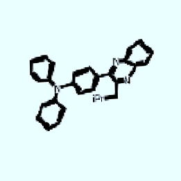 CC(C)Cc1nc2ccccc2nc1-c1ccc(N(c2ccccc2)c2ccccc2)cc1